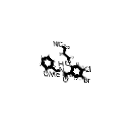 COc1ccccc1CNC(=O)c1cc(Br)c(Cl)cc1OCCCC#N